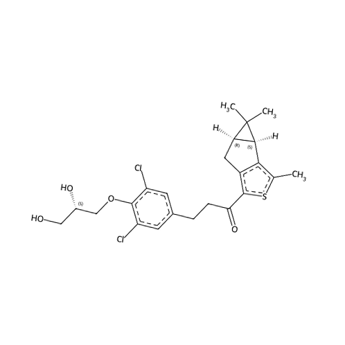 Cc1sc(C(=O)CCc2cc(Cl)c(OC[C@@H](O)CO)c(Cl)c2)c2c1[C@H]1[C@@H](C2)C1(C)C